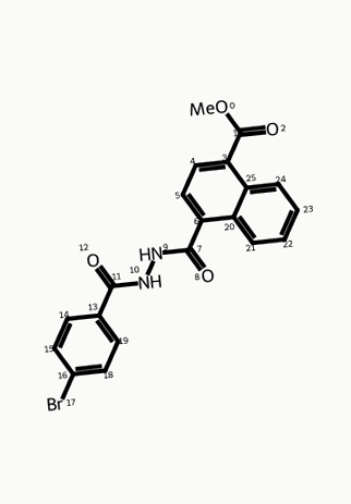 COC(=O)c1ccc(C(=O)NNC(=O)c2ccc(Br)cc2)c2ccccc12